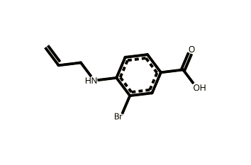 C=CCNc1ccc(C(=O)O)cc1Br